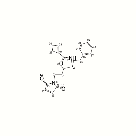 O=C(NC(CCCCN1C(=O)C=CC1=O)Cc1ccccc1)C1=CCC1